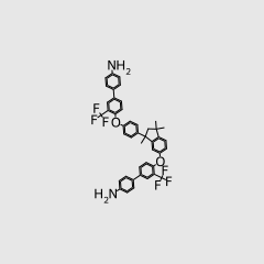 CC1(C)CC(C)(c2ccc(Oc3ccc(-c4ccc(N)cc4)cc3C(F)(F)F)cc2)c2cc(Oc3ccc(-c4ccc(N)cc4)cc3C(F)(F)F)ccc21